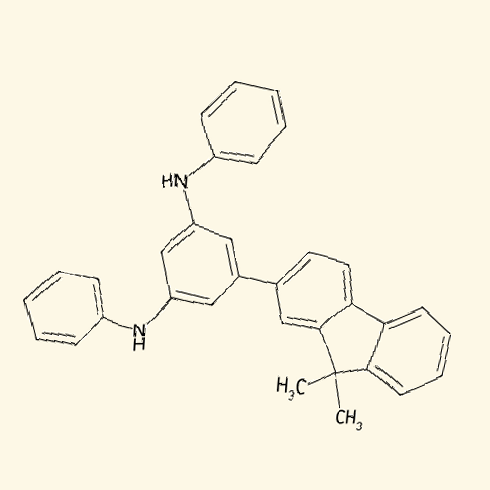 CC1(C)c2ccccc2-c2ccc(-c3cc(Nc4ccccc4)cc(Nc4ccccc4)c3)cc21